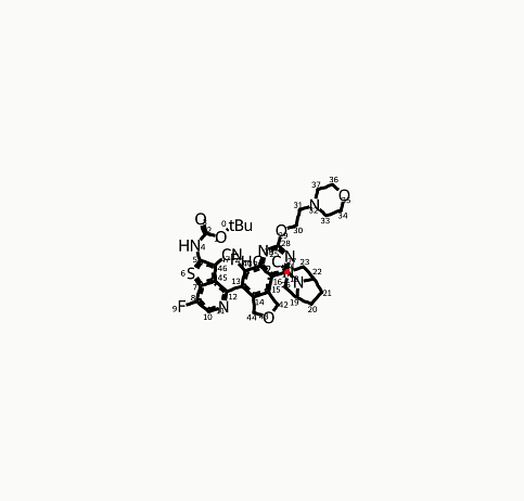 CC(C)(C)OC(=O)Nc1sc2c(F)cnc(-c3c4c(c5c(N6C7CCC6CN(C(=O)O)C7)nc(OCCN6CCOCC6)nc5c3F)COC4)c2c1C#N